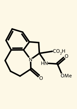 COC(=O)NC1(C(=O)O)Cc2cccc3c2N1C(=O)CCC3